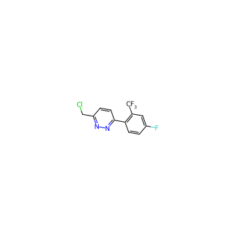 Fc1ccc(-c2ccc(CCl)nn2)c(C(F)(F)F)c1